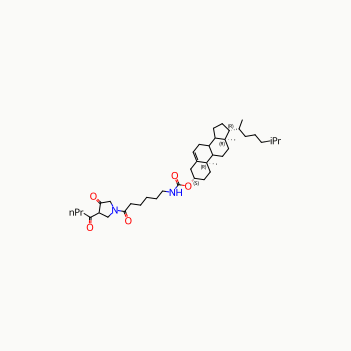 CCCC(=O)C1CN(C(=O)CCCCCNC(=O)O[C@H]2CC[C@@]3(C)C(=CCC4C3CC[C@@]3(C)C4CC[C@@H]3C(C)CCCC(C)C)C2)CC1=O